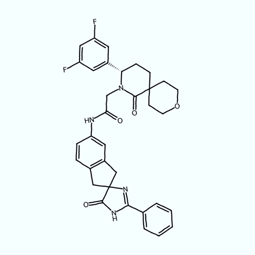 O=C(CN1C(=O)C2(CCOCC2)CC[C@H]1c1cc(F)cc(F)c1)Nc1ccc2c(c1)CC1(C2)N=C(c2ccccc2)NC1=O